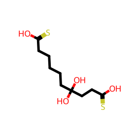 OC(=S)CCCCCC(O)(O)CCC(O)=S